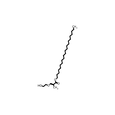 CCCCCCCCCCCCCCCCCCCCCCOC(=O)C(C)=COCCO